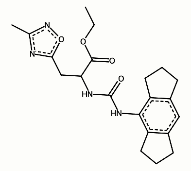 CCOC(=O)C(Cc1nc(C)no1)NC(=O)Nc1c2c(cc3c1CCC3)CCC2